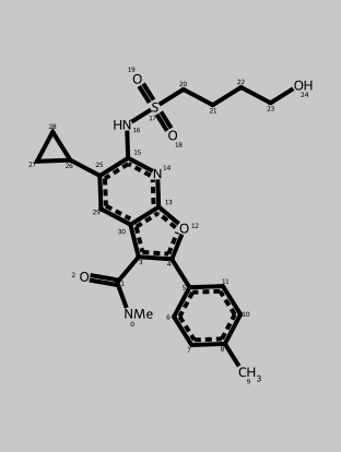 CNC(=O)c1c(-c2ccc(C)cc2)oc2nc(NS(=O)(=O)CCCCO)c(C3CC3)cc12